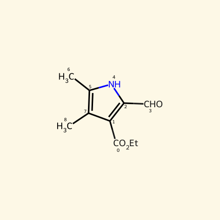 CCOC(=O)c1c(C=O)[nH]c(C)c1C